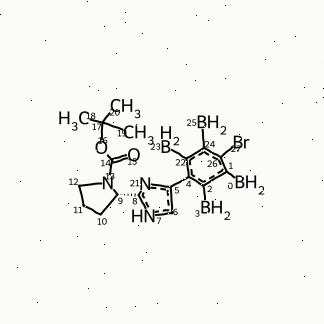 Bc1c(B)c(-c2c[nH]c([C@@H]3CCCN3C(=O)OC(C)(C)C)n2)c(B)c(B)c1Br